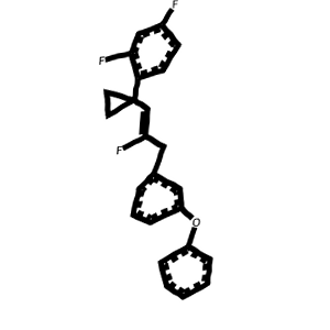 FC(=CC1(c2ccc(F)cc2F)CC1)Cc1cccc(Oc2ccccc2)c1